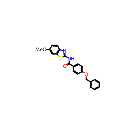 COc1ccc2nc(NC(=O)c3ccc(OCc4ccccc4)cc3)sc2c1